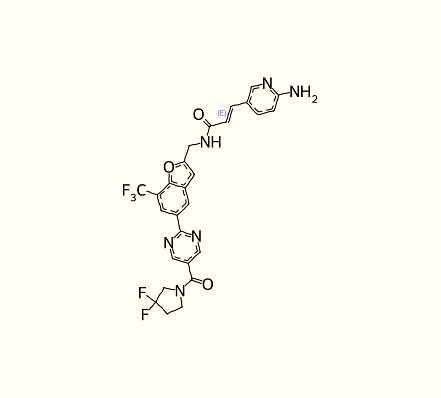 Nc1ccc(/C=C/C(=O)NCc2cc3cc(-c4ncc(C(=O)N5CCC(F)(F)C5)cn4)cc(C(F)(F)F)c3o2)cn1